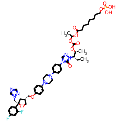 CC[C@@H]([C@H](C)OC(=O)OC(C)OC(=O)CCCCCCCOP(=O)(O)O)n1ncn(-c2ccc(N3CCN(c4ccc(OC[C@@H]5CO[C@@](Cn6cncn6)(c6ccc(F)cc6F)C5)cc4)CC3)cc2)c1=O